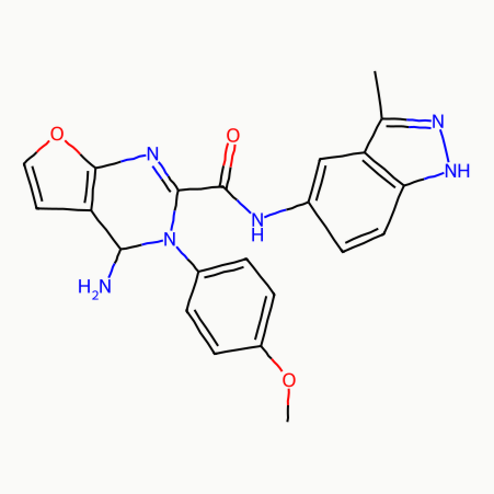 COc1ccc(N2C(C(=O)Nc3ccc4[nH]nc(C)c4c3)=Nc3occc3C2N)cc1